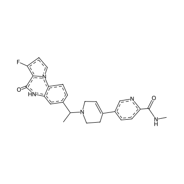 CNC(=O)c1ccc(C2=CCN(C(C)c3ccc4c(c3)[nH]c(=O)c3c(F)ccn34)CC2)cn1